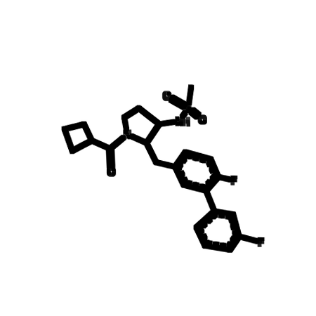 CS(=O)(=O)NC1CCN(C(=O)C2CCC2)C1Cc1ccc(F)c(-c2cccc(F)c2)c1